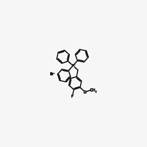 COc1cc(C[P+](c2ccccc2)(c2ccccc2)c2ccccc2)ccc1F.[Br-]